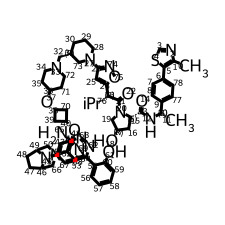 Cc1ncsc1-c1ccc([C@H](C)NC(=O)[C@@H]2C[C@@H](O)CN2C(=O)[C@@H](c2cc(N3CCC[C@H](CN4CCC(O[C@H]5C[C@H](Oc6cc(N7C8CCC7CN(c7cc(-c9ccccc9O)nnc7N)C8)ccn6)C5)CC4)C3)no2)C(C)C)cc1